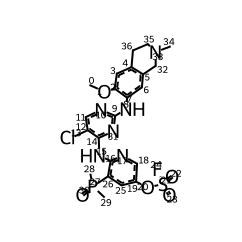 COc1cc2c(cc1Nc1ncc(Cl)c(Nc3ncc(OS(=O)(=O)F)cc3P(C)(C)=O)n1)CN(C)CC2